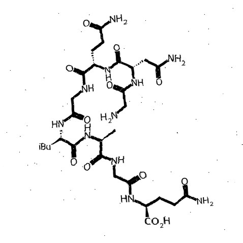 CC[C@H](C)[C@H](NC(=O)CNC(=O)[C@H](CCC(N)=O)NC(=O)[C@H](CC(N)=O)NC(=O)CN)C(=O)N[C@@H](C)C(=O)NCC(=O)N[C@@H](CCC(N)=O)C(=O)O